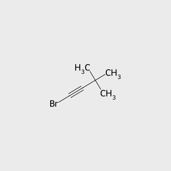 CC(C)(C)C#CBr